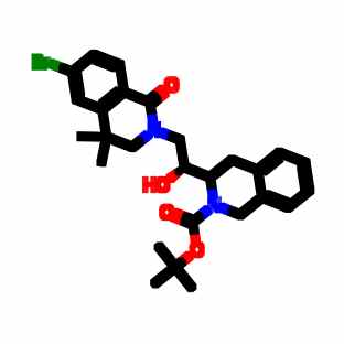 CC(C)(C)OC(=O)N1Cc2ccccc2CC1[C@@H](O)CN1CC(C)(C)c2cc(Br)ccc2C1=O